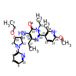 CCO[C@H]1CN(c2ccccn2)C[C@H]1Nc1c(CC)nc(-c2ccc(OC)nc2C)n(CC)c1=O